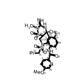 COc1ccc(C(=O)Nc2ccc(F)c([C@@]3(C)NC(=N)N(C)S(=O)(=O)[C@@]34CCN(S(=O)(=O)CC(C)C)C4)c2)nc1